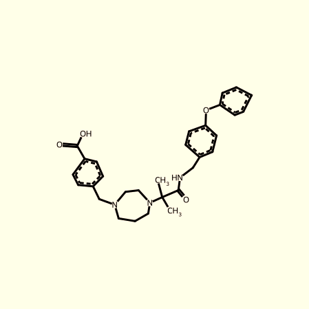 CC(C)(C(=O)NCc1ccc(Oc2ccccc2)cc1)N1CCCN(Cc2ccc(C(=O)O)cc2)CC1